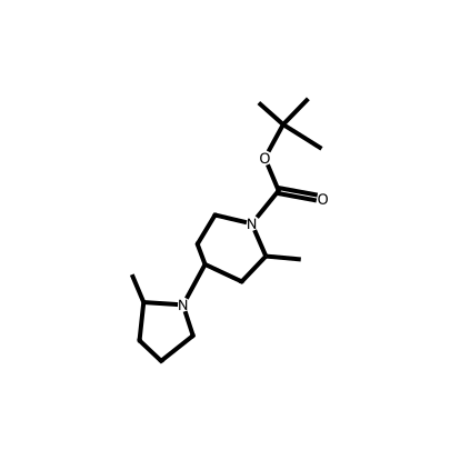 CC1CC(N2CCCC2C)CCN1C(=O)OC(C)(C)C